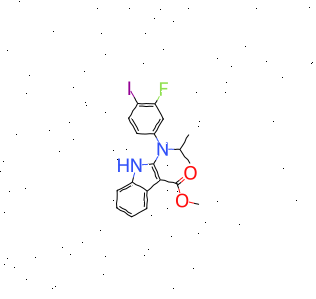 COC(=O)c1c(N(c2ccc(I)c(F)c2)C(C)C)[nH]c2ccccc12